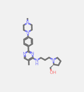 Cc1cnc(-c2ccc(N3CCN(C)CC3)cc2)nc1NCCCN1CCC[C@H]1CO